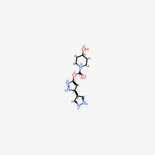 O=C(OC1=CC(=C2C=NN=C2)N=N1)N1CCC(O)CC1